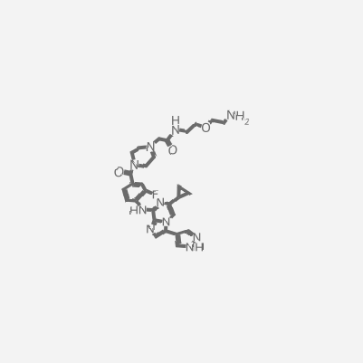 NCCOCCNC(=O)CN1CCN(C(=O)c2ccc(Nc3nc(C4CC4)cn4c(-c5cn[nH]c5)cnc34)c(F)c2)CC1